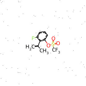 C=C(C)c1c(F)cccc1OS(=O)(=O)C(F)(F)F